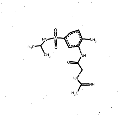 CC(=N)NCC(=O)Nc1cc(S(=O)(=O)NC(C)C)ccc1C